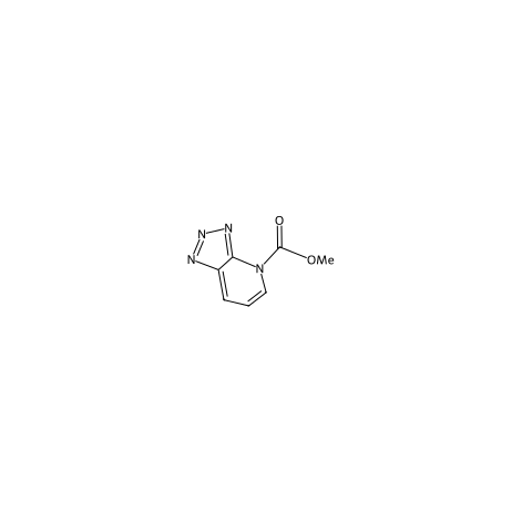 COC(=O)n1cccc2nnnc1-2